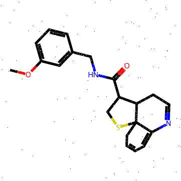 COc1cccc(CNC(=O)C2CSC34CC=CC=C3N=CCC24)c1